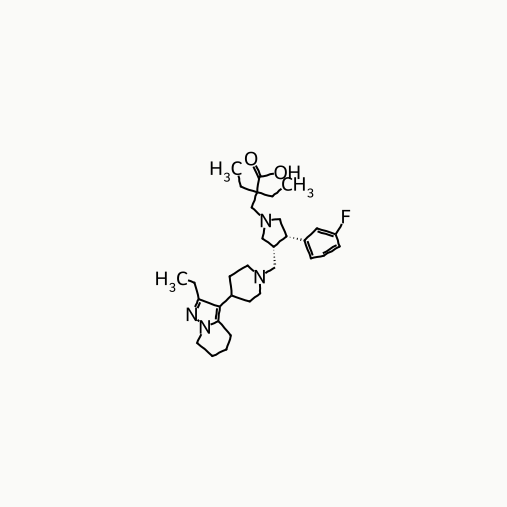 CCc1nn2c(c1C1CCN(C[C@@H]3CN(CC(CC)(CC)C(=O)O)C[C@@H]3c3cccc(F)c3)CC1)CCCC2